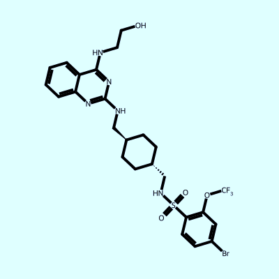 O=S(=O)(NC[C@H]1CC[C@H](CNc2nc(NCCO)c3ccccc3n2)CC1)c1ccc(Br)cc1OC(F)(F)F